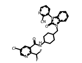 N#Cc1ncccc1-n1c(=O)n(CC2CCC(NC(=O)c3cc(Cl)cnc3C(F)F)CC2)c2ccccc21